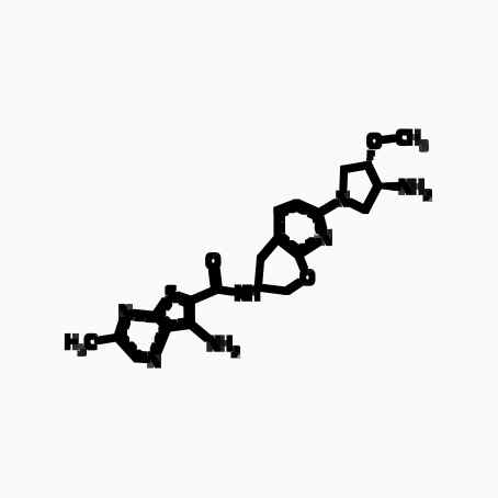 CO[C@H]1CN(c2ccc3c(n2)OC[C@H](NC(=O)c2sc4nc(C)cnc4c2N)C3)C[C@@H]1N